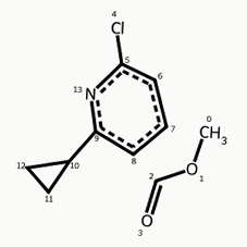 COC=O.Clc1cccc(C2CC2)n1